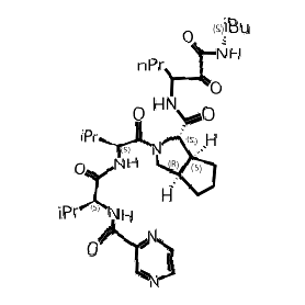 CCCC(NC(=O)[C@@H]1[C@H]2CCC[C@H]2CN1C(=O)[C@@H](NC(=O)[C@@H](NC(=O)c1cnccn1)C(C)C)C(C)C)C(=O)C(=O)N[C@@H](C)CC